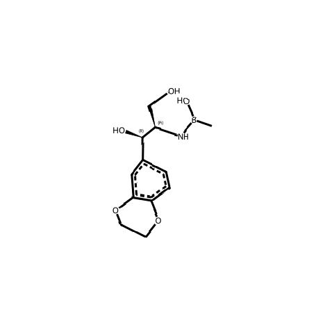 CB(O)N[C@H](CO)[C@H](O)c1ccc2c(c1)OCCO2